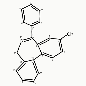 Clc1ccc2c(c1)C(c1ccccc1)=NCc1ccccc1-2